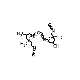 CC(CCN=C=O)CC(C)(C)CN=C=O.CC(CN=C=O)CC(C)(C)CCN=C=O